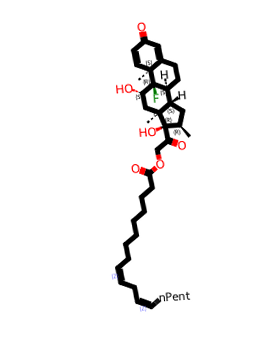 CCCCC/C=C\C/C=C\CCCCCCCC(=O)OCC(=O)[C@@]1(O)[C@H](C)C[C@H]2[C@@H]3CCC4=CC(=O)C=C[C@]4(C)[C@@]3(F)[C@@H](O)C[C@@]21C